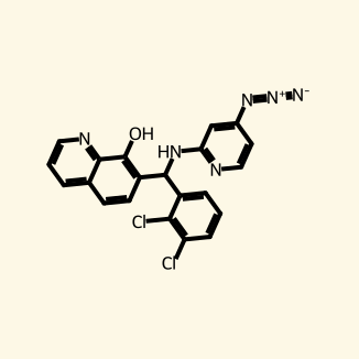 [N-]=[N+]=Nc1ccnc(NC(c2cccc(Cl)c2Cl)c2ccc3cccnc3c2O)c1